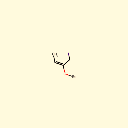 CC=C(CI)OCC